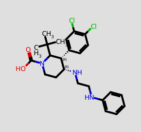 CC(C)(C)C1[C@H](c2ccc(Cl)c(Cl)c2)[C@H](NCCNc2ccccc2)CCN1C(=O)O